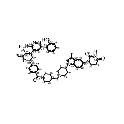 Cc1cn(C2CCN(CC3CCN(C(=O)c4ccc([C@@H]5CN(c6cc(-c7ccccc7O)nnc6N)[C@H](C)[C@H](C)O5)cc4)CC3)CC2)c2ccc(N3CCC(=O)NC3=O)cc12